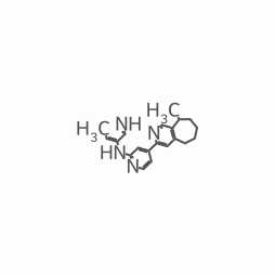 C/C=C(\C=N)Nc1cc(-c2cc3c(cn2)C(C)CCCC3)ccn1